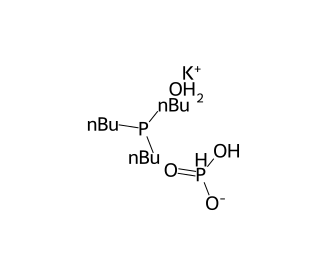 CCCCP(CCCC)CCCC.O.O=[PH]([O-])O.[K+]